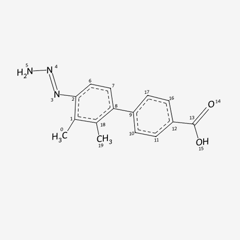 Cc1c(N=NN)ccc(-c2ccc(C(=O)O)cc2)c1C